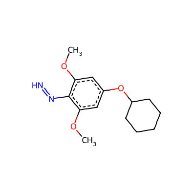 COc1cc(OC2CCCCC2)cc(OC)c1N=N